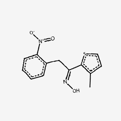 Cc1ccsc1C(Cc1ccccc1[N+](=O)[O-])=NO